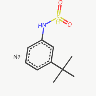 CC(C)(C)c1cccc(N[SH](=O)=O)c1.[Na]